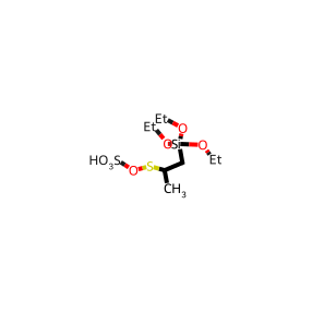 CCO[Si](CC(C)SOS(=O)(=O)O)(OCC)OCC